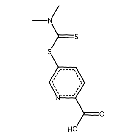 CN(C)C(=S)Sc1ccc(C(=O)O)nc1